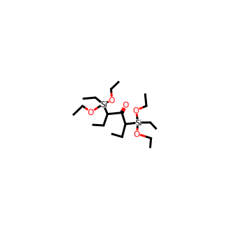 CCO[Si](CC)(OCC)C(CC)C(=O)C(CC)[Si](CC)(OCC)OCC